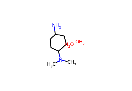 CN(C)C1CCC(N)CC1.O.O